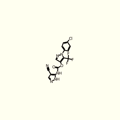 N#Cc1cn[nH]c1NC(=O)Oc1cnn(-c2ccc(Cl)cc2)c1C(F)(F)F